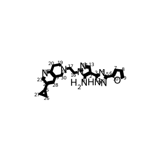 Nc1c(-c2nc(-c3ccco3)n[nH]2)cnn1CCN1CCc2ncc(C3CC3)cc2C1